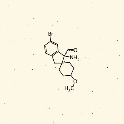 COC1CCC2(CC1)Cc1ccc(Br)cc1C2(N)C=O